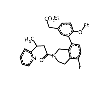 CCOC(=O)Cc1ccc(OCC)c(-c2ccc(F)c3c2CN(C(=O)CC(C)c2ccccn2)CC3)c1